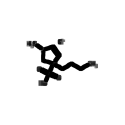 CCCC[N+]1(S(=O)(=O)O)C=CN(C)C1.[Cl-]